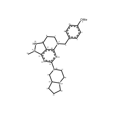 COc1ccc(CN2CCC3NN(C)c4nc(N5CCN6CCCC6C5)nc2c43)cc1